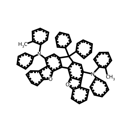 Cc1ccccc1N(c1ccccc1)c1cc2c(c3oc4ccccc4c13)-c1c(cc(N(c3ccccc3)c3ccccc3C)c3c1oc1ccccc13)C2(c1ccccc1)c1ccccc1